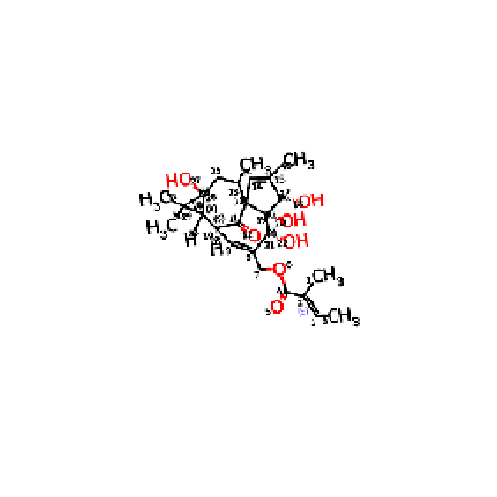 C/C=C(\C)C(=O)OCC1=C[C@@H]2C(=O)C3(C=C(C)[C@H](O)[C@@]3(O)[C@@H]1O)C(C)C[C@]1(O)[C@H]2C1(C)C